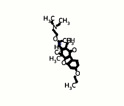 C#CC1=C(/C=C(\C)OCCN(CC)CC)C(C)(C)c2oc3cc(OCCC)ccc3c2C1=O